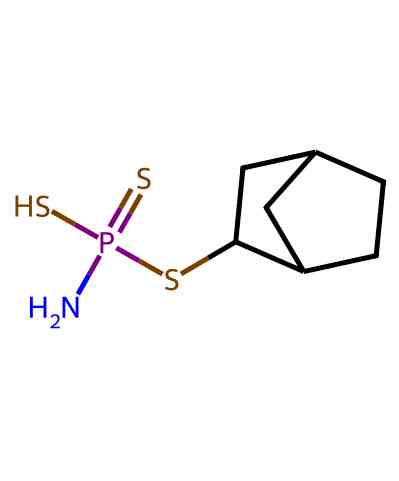 NP(=S)(S)SC1CC2CCC1C2